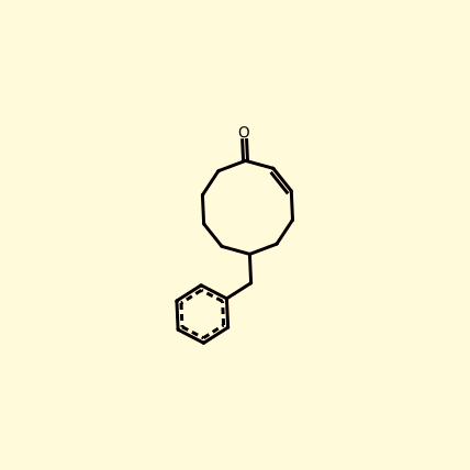 O=C1C=CCCC(Cc2ccccc2)CCCC1